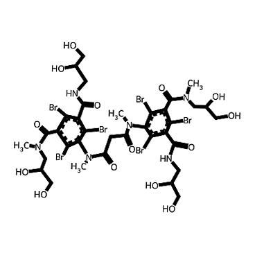 CN(CC(O)CO)C(=O)c1c(Br)c(C(=O)NCC(O)CO)c(Br)c(N(C)C(=O)CC(=O)N(C)c2c(Br)c(C(=O)NCC(O)CO)c(Br)c(C(=O)N(C)CC(O)CO)c2Br)c1Br